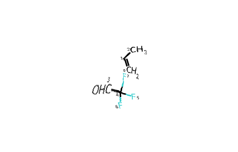 C=CC.O=CC(F)(F)F